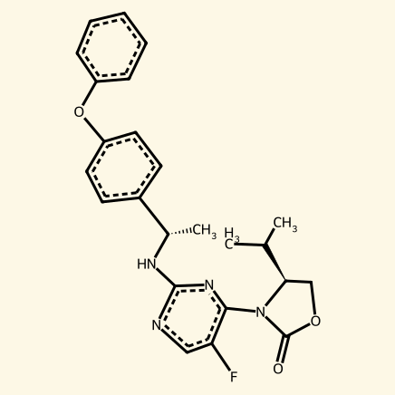 CC(C)[C@H]1COC(=O)N1c1nc(N[C@@H](C)c2ccc(Oc3ccccc3)cc2)ncc1F